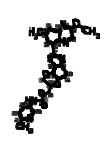 COc1cnc2c(-c3nc4ccc5c(c4s3)OC[C@H](COC(=O)Nc3ccc(C)nc3)O5)cc(C)cc2n1